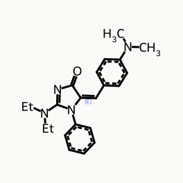 CCN(CC)C1=NC(=O)/C(=C\c2ccc(N(C)C)cc2)N1c1ccccc1